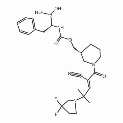 CC(C)(/C=C(\C#N)C(=O)N1CCC[C@H](COC(=O)N[C@@H](Cc2ccccc2)B(O)O)C1)N1CCC(F)(F)C1